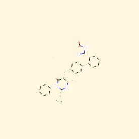 CCCCc1nc(C2CC2)n(-c2ccccc2)c(=O)c1Cc1ccc(-c2ccccc2-c2noc(=O)[nH]2)cc1.[KH]